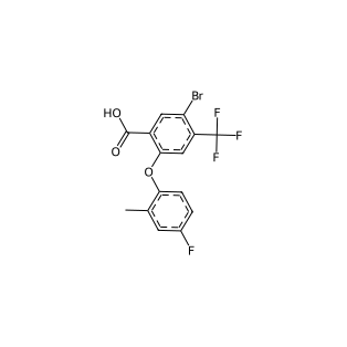 Cc1cc(F)ccc1Oc1cc(C(F)(F)F)c(Br)cc1C(=O)O